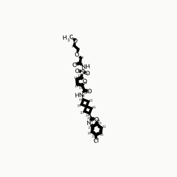 COCCOCC(=O)NS(=O)(=O)c1ccc(C(=O)N[C@H]2CC3(C2)C[C@H](c2nc4cc(Cl)ccc4o2)C3)o1